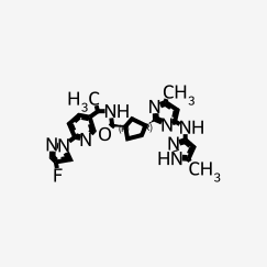 Cc1cc(Nc2cc(C)[nH]n2)nc([C@@H]2CC[C@@H](C(=O)NC(C)c3ccc(-n4cc(F)cn4)nc3)C2)n1